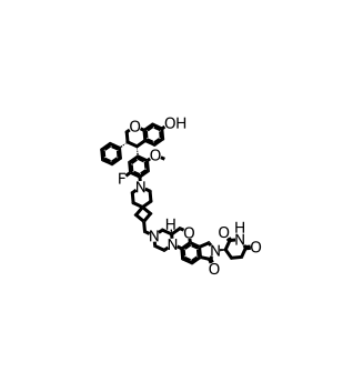 COc1cc(N2CCC3(CC2)CC(CN2CCN4c5ccc6c(c5OC[C@@H]4C2)CN([C@@H]2CCC(=O)NC2=O)C6=O)C3)c(F)cc1[C@H]1c2ccc(O)cc2OC[C@H]1c1ccccc1